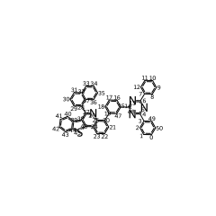 c1ccc(-c2nc(-c3ccccc3)nc(-c3cccc(-c4cccc5c4nc(-c4cccc6ccccc46)c4c6ccccc6sc54)c3)n2)cc1